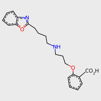 O=C(O)c1ccccc1OCCCNCCCCc1nc2ccccc2o1